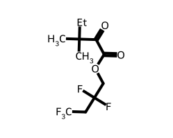 CCC(C)(C)C(=O)C(=O)OCC(F)(F)CC(F)(F)F